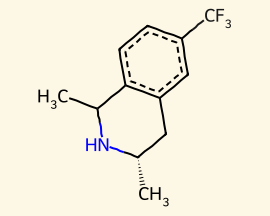 CC1N[C@@H](C)Cc2cc(C(F)(F)F)ccc21